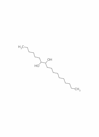 CCCCCCCCCCC(O)C(O)CCCCCC